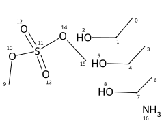 CCO.CCO.CCO.COS(=O)(=O)OC.N